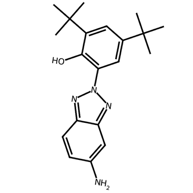 CC(C)(C)c1cc(-n2nc3ccc(N)cc3n2)c(O)c(C(C)(C)C)c1